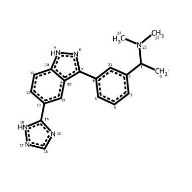 [CH2]C(c1cccc(-c2n[nH]c3ccc(-c4ncn[nH]4)cc23)c1)N(C)C